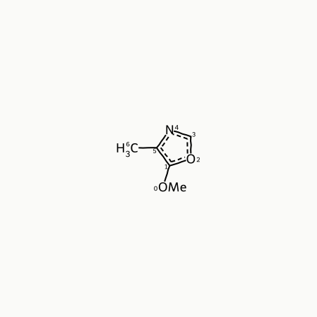 COc1ocnc1C